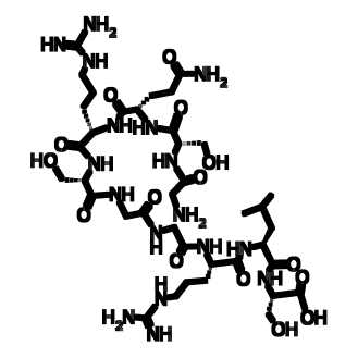 CC(C)C[C@H](NC(=O)[C@H](CCCNC(=N)N)NC(=O)CNC(=O)CNC(=O)[C@H](CO)NC(=O)[C@H](CCCNC(=N)N)NC(=O)[C@H](CCC(N)=O)NC(=O)[C@H](CO)NC(=O)CN)C(=O)N[C@@H](CO)C(=O)O